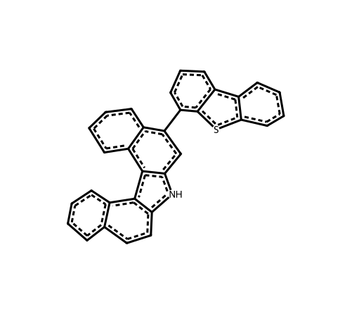 c1ccc2c(c1)ccc1[nH]c3cc(-c4cccc5c4sc4ccccc45)c4ccccc4c3c12